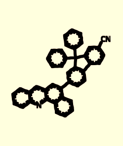 N#Cc1ccc2c(c1)C(c1ccccc1)(c1ccccc1)c1cc(-c3cc4cc5ccccc5nc4c4ccccc34)ccc1-2